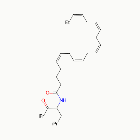 CC/C=C\C/C=C\C/C=C\C/C=C\C/C=C\CCCC(=O)NC(CC(C)C)C(=O)C(C)C